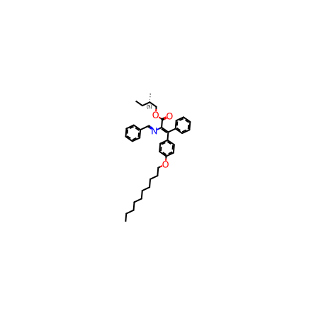 CCCCCCCCCCOc1ccc(C(=C(N=Cc2ccccc2)C(=O)OC[C@@H](C)CC)c2ccccc2)cc1